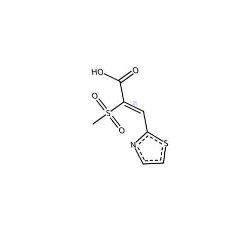 CS(=O)(=O)/C(=C\c1nccs1)C(=O)O